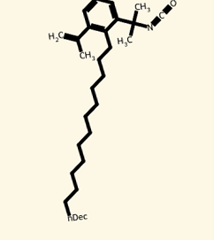 C=C(C)c1cccc(C(C)(C)N=C=O)c1CCCCCCCCCCCCCCCCCCCCCC